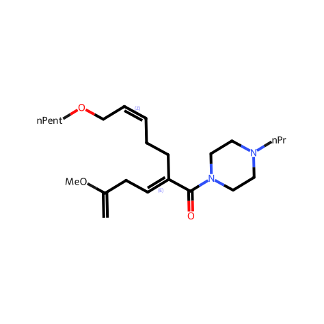 C=C(C/C=C(\CC/C=C\COCCCCC)C(=O)N1CCN(CCC)CC1)OC